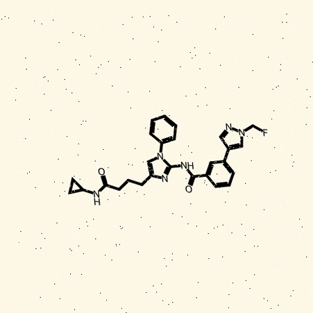 O=C(CCCc1cn(-c2ccccc2)c(NC(=O)c2cccc(-c3cnn(CF)c3)c2)n1)NC1CC1